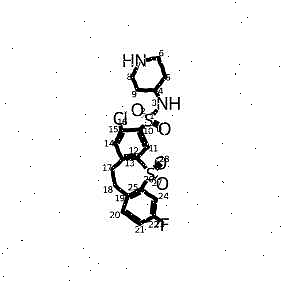 O=S(=O)(NC1CCNCC1)c1cc2c(cc1Cl)CCc1ccc(F)cc1S2(=O)=O